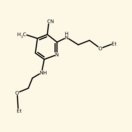 CCOCCNc1cc(C)c(C#N)c(NCCOCC)n1